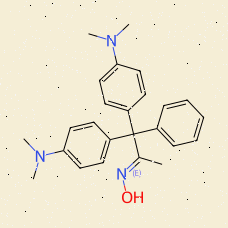 C/C(=N\O)C(c1ccccc1)(c1ccc(N(C)C)cc1)c1ccc(N(C)C)cc1